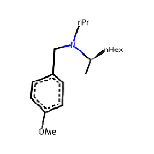 CCCCCC[C@@H](C)N(CCC)Cc1ccc(OC)cc1